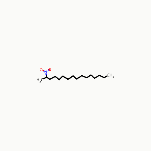 CCCCCCCCCCCCCCC(C)[N+](=O)[O-]